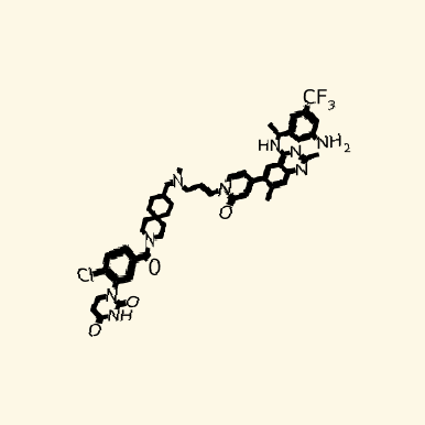 Cc1nc(NC(C)c2cc(N)cc(C(F)(F)F)c2)c2cc(-c3ccn(CCCN(C)CC4CCC5(CC4)CCN(C(=O)c4ccc(Cl)c(N6CCC(=O)NC6=O)c4)CC5)c(=O)c3)c(C)cc2n1